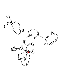 CC(C)(C)OC(=O)N1C2CC1CN(c1nc3c(N4CCS(=O)(=O)CC4)ccc(-c4nccs4)c3o1)C2